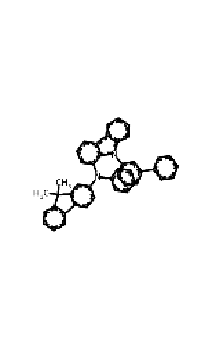 CC1(C)c2ccccc2-c2ccc(N(c3ccccc3)c3cccc4c5ccccc5n(-c5cccc(-c6ccccc6)c5)c34)cc21